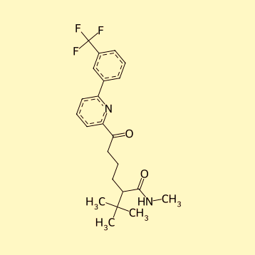 CNC(=O)C(CCCC(=O)c1cccc(-c2cccc(C(F)(F)F)c2)n1)C(C)(C)C